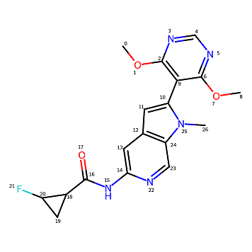 COc1ncnc(OC)c1-c1cc2cc(NC(=O)C3CC3F)ncc2n1C